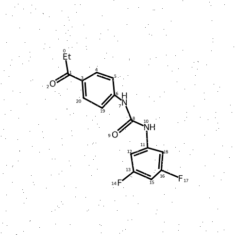 CCC(=O)c1ccc(NC(=O)Nc2cc(F)cc(F)c2)cc1